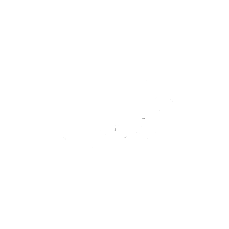 NCc1ccc(NC(=O)c2cc(-n3cnc4ccccc43)cs2)cc1